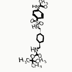 CC(=O)Nc1ccc(S(=O)(=O)NC[C@H]2CC[C@H](CNC(=O)OC(C)(C)C)CC2)cc1